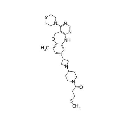 CSCCC(=O)N1CCC(N2CC(c3cc(C)c4c(c3)Nc3ncnc(N5CCSCC5)c3CO4)C2)CC1